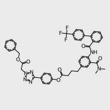 CN(C)C(=O)c1cc(CCCC(=O)Oc2ccc(-c3nnn(CC(=O)OCc4ccccc4)n3)cc2)ccc1NC(=O)c1ccccc1-c1ccc(C(F)(F)F)cc1